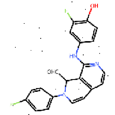 O=CC1c2c(ccnc2Nc2ccc(O)c(F)c2)C=CN1c1ccc(F)cc1